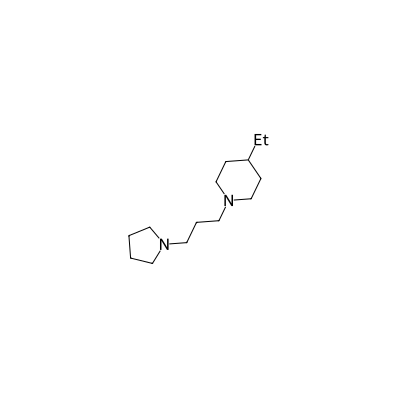 [CH2]CC1CCN(CCCN2CCCC2)CC1